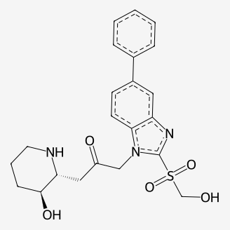 O=C(C[C@H]1NCCC[C@@H]1O)Cn1c(S(=O)(=O)CO)nc2cc(-c3ccccc3)ccc21